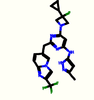 Cc1cc(Nc2cc(N3CC(F)(C4CC4)C3)nc(Cc3ccc4nc(C(F)(F)F)cn4c3)n2)[nH]n1